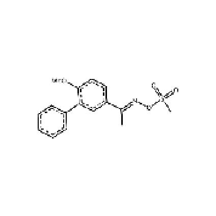 COc1ccc(C(C)=NOS(C)(=O)=O)cc1-c1ccccc1